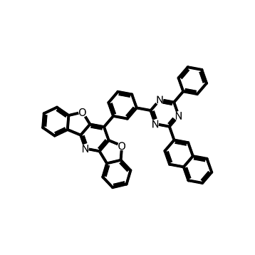 c1ccc(-c2nc(-c3cccc(-c4c5oc6ccccc6c5nc5c4oc4ccccc45)c3)nc(-c3ccc4ccccc4c3)n2)cc1